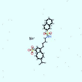 CC(C)c1ccc2c(CCCCNS(=O)(=O)c3ccc4ccccc4c3)cc(S(=O)(=O)[O-])c-2cc1.[Na+]